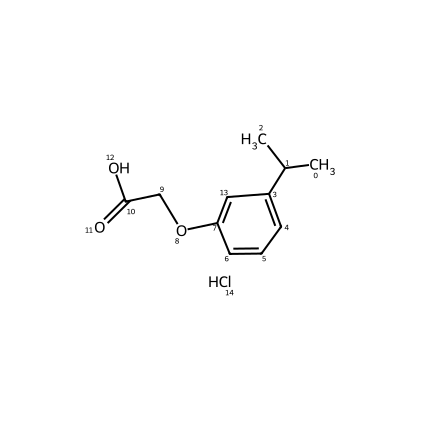 CC(C)c1cccc(OCC(=O)O)c1.Cl